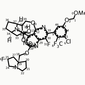 COCOc1cc(Cl)c(C(F)(F)F)c(-c2nc3c4c(nc(OC[C@@]56CCCN5C[C@H](F)C6)nc4c2F)N2C[C@H]4CC[C@@H]([C@H]2CO3)N4C(=O)OC(C)(C)C)c1